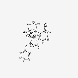 NC(Cc1ccccc1)C1=NC2(c3ccccc3Cl)CCC[C@H](O1)C2=O